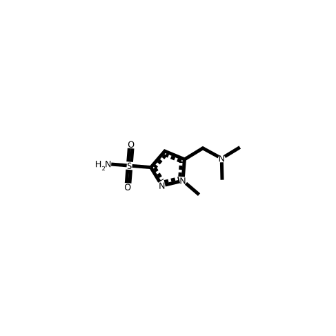 CN(C)Cc1cc(S(N)(=O)=O)nn1C